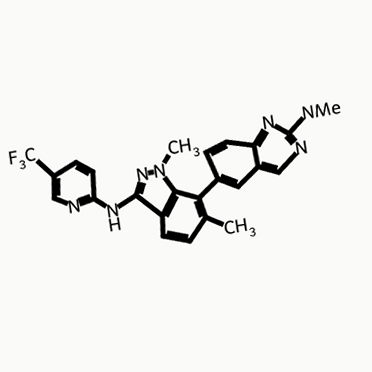 CNc1ncc2cc(-c3c(C)ccc4c(Nc5ccc(C(F)(F)F)cn5)nn(C)c34)ccc2n1